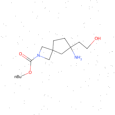 CCCCOC(=O)N1CC2(CCC(N)(CCO)C2)C1